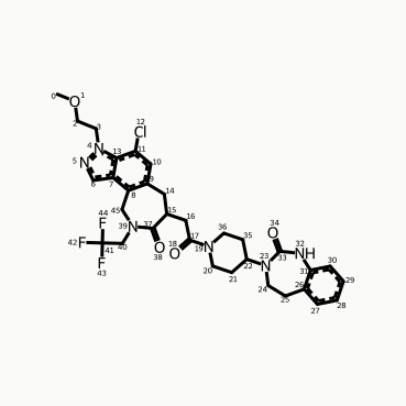 COCCn1ncc2c3c(cc(Cl)c21)CC(CC(=O)N1CCC(N2CCc4ccccc4NC2=O)CC1)C(=O)N(CC(F)(F)F)C3